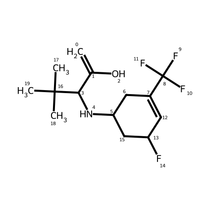 C=C(O)C(NC1CC(C(F)(F)F)=CC(F)C1)C(C)(C)C